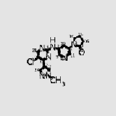 Cn1cc(-c2nc(Nc3cncc(N4CCCC4=O)c3)ncc2Cl)cn1